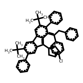 CC(C)(C)c1cc2c(cc1-c1ccccc1)C(C1=CC=CC1)=c1c-2cc(C(C)(C)C)c(-c2ccccc2)c1=C(Cc1ccccc1)c1ccc(Cl)cc1